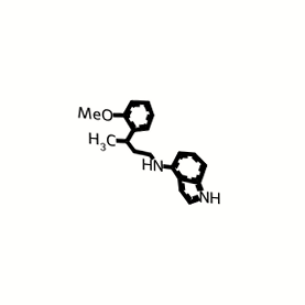 COc1ccccc1C(C)CCNc1cccc2[nH]ccc12